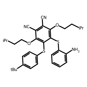 CC(C)CCOc1c(C#N)c(C#N)c(OCCC(C)C)c(Sc2ccccc2N)c1Sc1ccc(C(C)(C)C)cc1